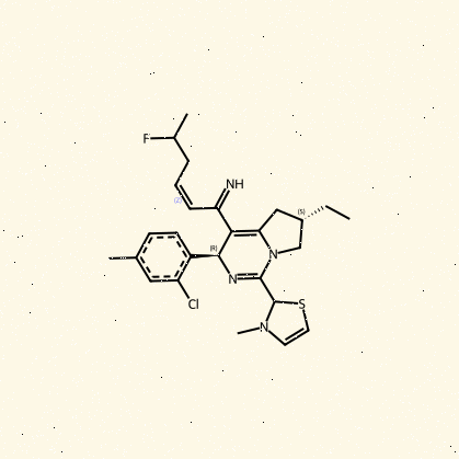 CC[C@H]1CC2=C(C(=N)/C=C\CC(C)F)[C@H](c3ccc(C)cc3Cl)N=C(C3SC=CN3C)N2C1